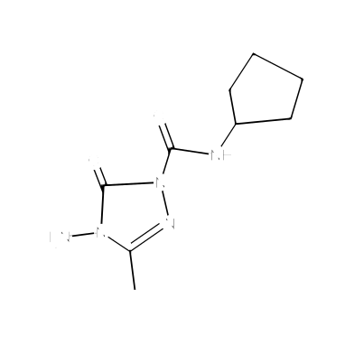 Cc1nn(C(=O)NC2CCCC2)c(=O)n1N